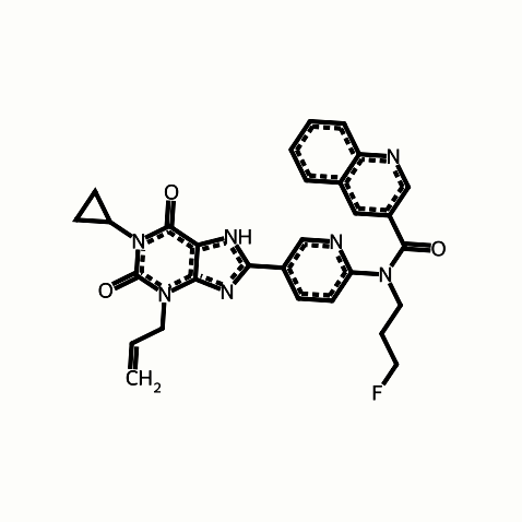 C=CCn1c(=O)n(C2CC2)c(=O)c2[nH]c(-c3ccc(N(CCCF)C(=O)c4cnc5ccccc5c4)nc3)nc21